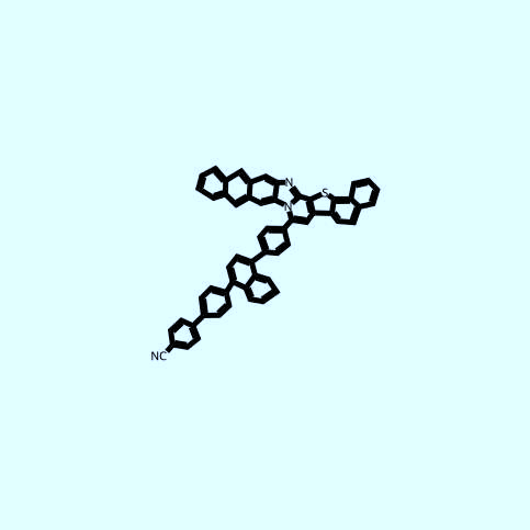 N#Cc1ccc(-c2ccc(-c3ccc(-c4ccc(-c5cc6c7ccc8ccccc8c7sc6c6nc7cc8cc9ccccc9cc8cc7n56)cc4)c4ccccc34)cc2)cc1